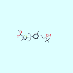 CCC(CC)(c1ccc(CCC(O)C(C)(C)C)c(C)c1)c1cc(C)c(C(=O)OC)s1